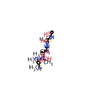 Cc1ncsc1-c1ccc([C@H](C)NC(=O)CN(COC[C@@H](c2cc(-c3cnc(N4CCC(O)(c5sc6nnc(-c7ccccc7O)cc6c5C)CC4)nc3)no2)C(C)C)C[C@@H](C)O)cc1